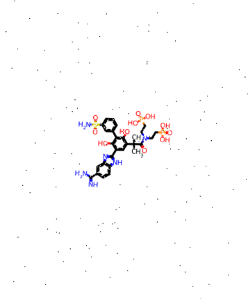 CC(C)(C(=O)N(CCP(=O)(O)O)CCP(=O)(O)O)c1cc(-c2nc3cc(C(=N)N)ccc3[nH]2)c(O)c(-c2cccc(S(N)(=O)=O)c2)c1O